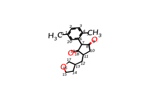 Cc1ccc(C)c(C2C(=O)CC(CC3CCOC3)C2=O)c1